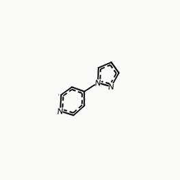 [c]1cc(-n2cccn2)ccn1